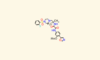 COc1cc(NC(=O)C(=O)NC(C)(C)CN2CCN(S(=O)(=O)c3ccccc3F)CC2)ccc1-c1cnco1